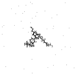 CCCc1cc2c(N3CCn4c(nnc4C(F)(F)F)C3)nc(OCCCCN)nc2s1